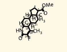 COC(=O)C1CC[C@H]2[C@@H]3CCC4NC(=O)C(F)=C(C)[C@]4(C)[C@@H]3CC[C@]12C